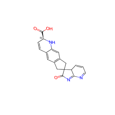 O=C(O)[C@@H]1C=Cc2cc3c(cc2N1)CC1(C3)C(=O)N=C2N=CC=CC21